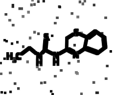 CCNC(=S)NC1=Nc2ccccc2SC1